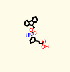 O=C(O)CCc1cccc(NC(=O)OCC2c3ccccc3-c3ccccc32)c1